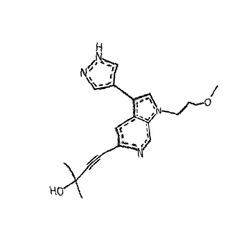 COCCn1cc(-c2cn[nH]c2)c2cc(C#CC(C)(C)O)ncc21